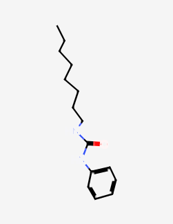 CCCCCCCCNC(=O)Nc1ccccc1